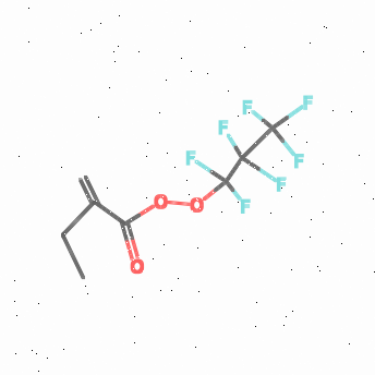 C=C(CC)C(=O)OOC(F)(F)C(F)(F)C(F)(F)F